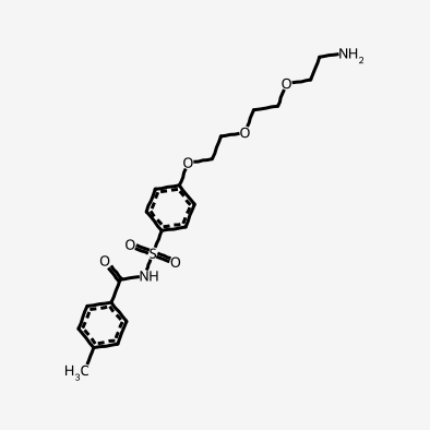 Cc1ccc(C(=O)NS(=O)(=O)c2ccc(OCCOCCOCCN)cc2)cc1